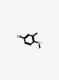 COc1ccc(Cl)cc1C